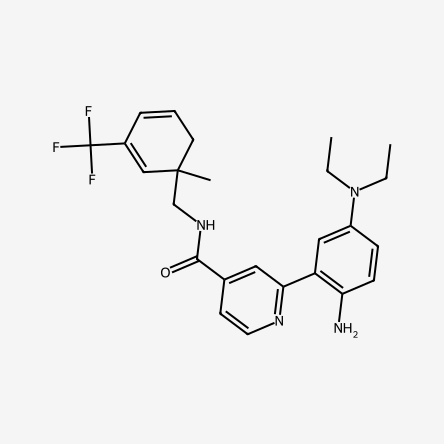 CCN(CC)c1ccc(N)c(-c2cc(C(=O)NCC3(C)C=C(C(F)(F)F)C=CC3)ccn2)c1